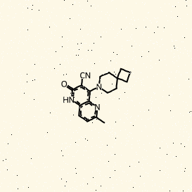 Cc1ccc2[nH]c(=O)c(C#N)c(N3CCC4(CCC4)CC3)c2n1